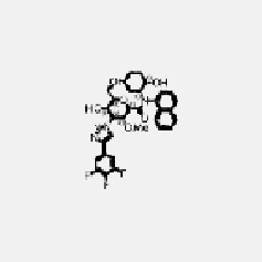 CO[C@@H]1[C@@H](n2cc(-c3cc(F)c(F)c(F)c3)nn2)[C@@H](O)[C@@H](CO)O[C@H]1C(=O)N(c1cccc2ccccc12)[C@H]1CCCC[C@@H]1O